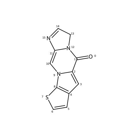 O=c1c2cc3ccsc3n2cc2n1CC=N2